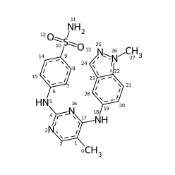 Cc1cnc(Nc2ccc(S(N)(=O)=O)cc2)nc1Nc1ccc2c(cnn2C)c1